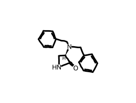 O=C1NC[C@H]1N(Cc1ccccc1)Cc1ccccc1